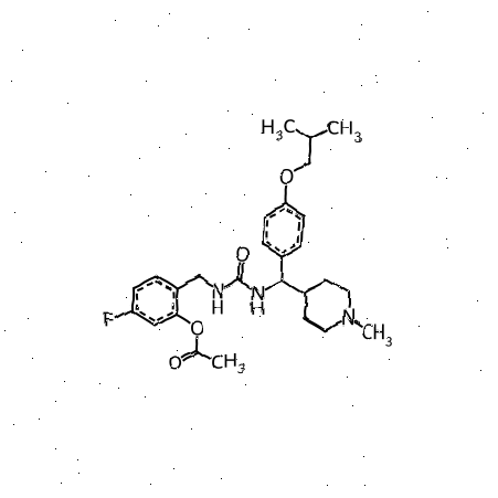 CC(=O)Oc1cc(F)ccc1CNC(=O)NC(c1ccc(OCC(C)C)cc1)C1CCN(C)CC1